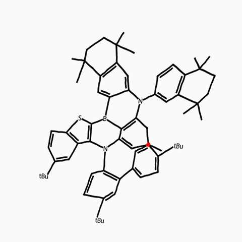 CC1C=C2C3=C(C1)N(c1ccc4c(c1)C(C)(C)CCC4(C)C)c1cc4c(cc1B3c1sc3ccc(C(C)(C)C)cc3c1N2c1ccc(C(C)(C)C)cc1-c1ccc(C(C)(C)C)cc1)C(C)(C)CCC4(C)C